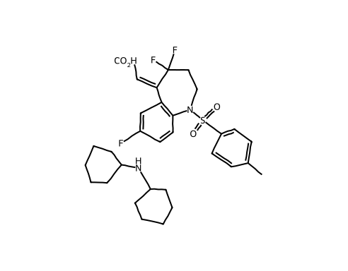 C1CCC(NC2CCCCC2)CC1.Cc1ccc(S(=O)(=O)N2CCC(F)(F)C(=CC(=O)O)c3cc(F)ccc32)cc1